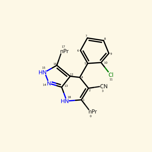 CCCC1=C(C#N)C(c2ccccc2Cl)c2c(n[nH]c2CCC)N1